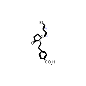 CC/C=C/C=C\[C@H]1CCC(=O)N1CCc1ccc(C(=O)O)cc1